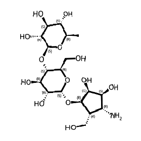 C[C@H]1O[C@@H](O[C@H]2[C@H](O)[C@@H](O)[C@@H](O[C@H]3[C@@H](O)[C@@H](O)[C@H](N)[C@@H]3CO)O[C@@H]2CO)[C@H](O)[C@@H](O)[C@@H]1O